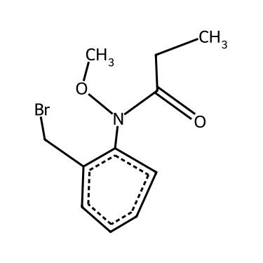 CCC(=O)N(OC)c1ccccc1CBr